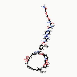 CCNC(=O)CCOCCOCCNC(=O)CN(C)CC(=O)N1CCN(c2ncc(CNC(=O)O[C@@H]3CC[C@@H](C[C@@H](N)[C@@H]4C[C@@H](OC)[C@H](C)/C=C(\C)[C@@H](O)[C@@H](O)C(=O)[C@H](C)C[C@H](C)/C=C/C=C/C=C(\C)[C@@H](OC)C[C@@H]5CC[C@@H](C)[C@@](O)(O5)C(=O)C(=O)N5CCCC[C@H]5C(=O)O4)C[C@H]3OC)cn2)CC1